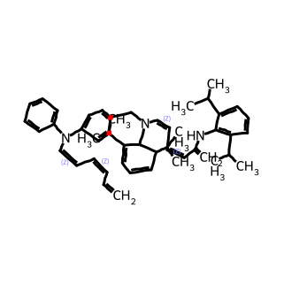 C=C/C=C\C=C/N(c1ccccc1)c1ccc(CN(/C=C\C=C/C(=C)Nc2c(C(C)C)cccc2C(C)C)C2C(C(C)C)=CC=CC2C(C)C)cc1